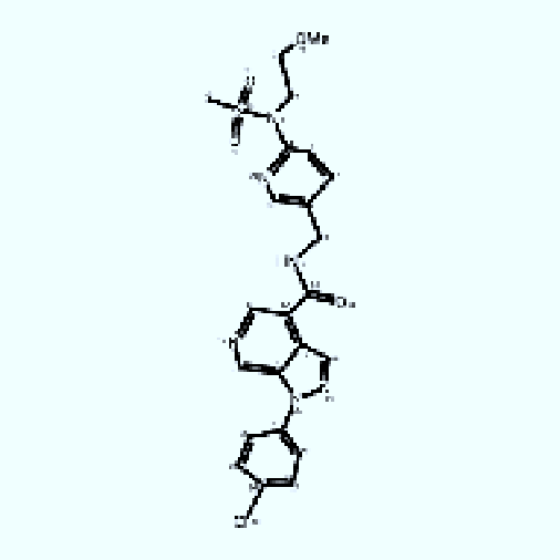 COCCN(c1ccc(CNC(=O)c2cncc3c2cnn3-c2ccc(Cl)cc2)cn1)S(C)(=O)=O